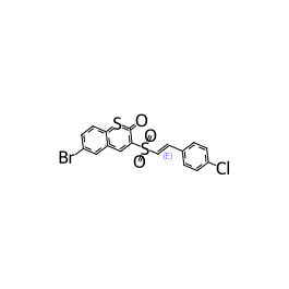 O=c1sc2ccc(Br)cc2cc1S(=O)(=O)/C=C/c1ccc(Cl)cc1